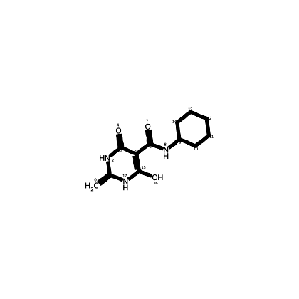 C=C1NC(=O)C(C(=O)NC2CCCCC2)=C(O)N1